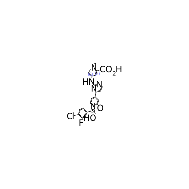 C=N/C(=C\C(=C/C)Nc1nccc(-c2ccn([C@H](CO)c3ccc(Cl)c(F)c3)c(=O)c2)n1)C(=O)O